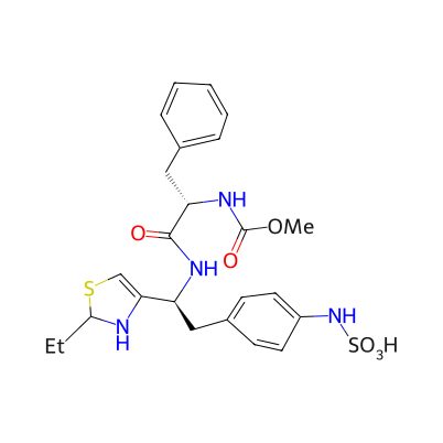 CCC1NC([C@H](Cc2ccc(NS(=O)(=O)O)cc2)NC(=O)[C@H](Cc2ccccc2)NC(=O)OC)=CS1